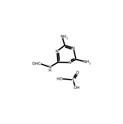 Nc1nc(N)nc(NC=O)n1.O=S(O)O